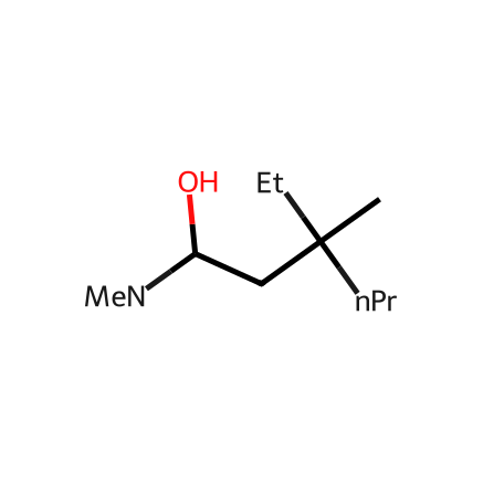 CCCC(C)(CC)CC(O)NC